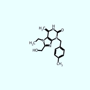 C=C1NC(=O)N(Cc2ccc(C)cc2)c2nc(CO)n(CC)c21